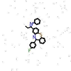 CC/C(=N/c1ccccc1)c1ccc2c(c1)N=C(c1ccc(F)cc1)c1ccccc1S2